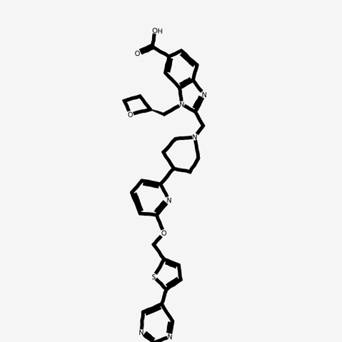 O=C(O)c1ccc2nc(CN3CCC(c4cccc(OCc5ccc(-c6cncnc6)s5)n4)CC3)n(C[C@@H]3CCO3)c2c1